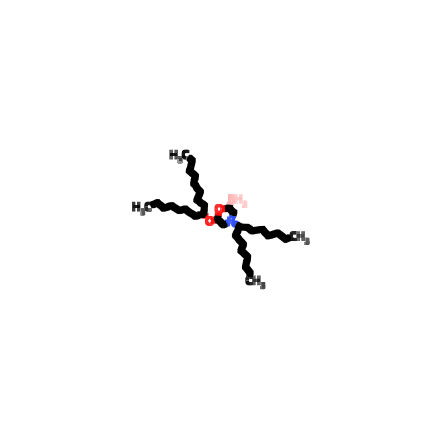 BC1CN(C(CCCCCCC)CCCCCCC)CC(OC(CCCCCCC)CCCCCCCC)O1